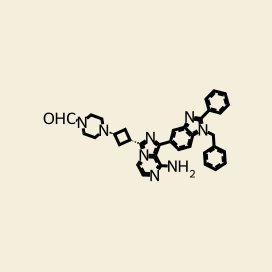 Nc1nccn2c1c(-c1ccc3c(c1)nc(-c1ccccc1)n3Cc1ccccc1)nc2[C@H]1C[C@@H](N2CCN(C=O)CC2)C1